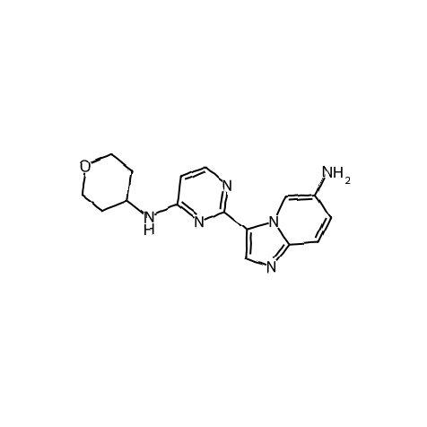 Nc1ccc2ncc(-c3nccc(NC4CCOCC4)n3)n2c1